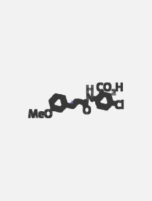 COc1cccc(/C=C/C(=O)Nc2ccc(Cl)cc2C(=O)O)c1